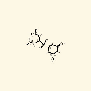 C[SiH2]OC(O[SiH2]C)C(C)(C)[C@@H]1CC(=O)C[C@H](O)C1